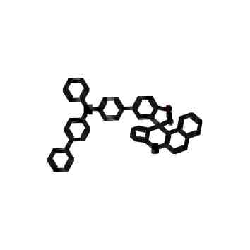 c1ccc(-c2ccc(N(c3ccccc3)c3ccc(-c4ccc5c(c4)C4(c6ccccc6Sc6ccc7ccccc7c64)c4ccccc4-5)cc3)cc2)cc1